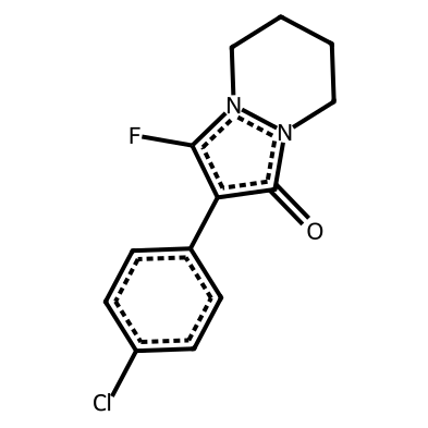 O=c1c(-c2ccc(Cl)cc2)c(F)n2n1CCCC2